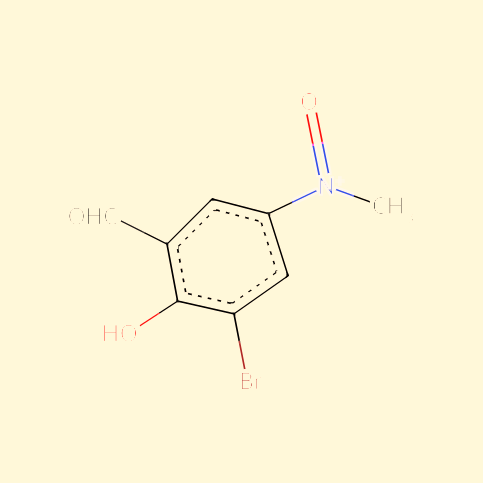 C[N+](=O)c1cc(Br)c(O)c(C=O)c1